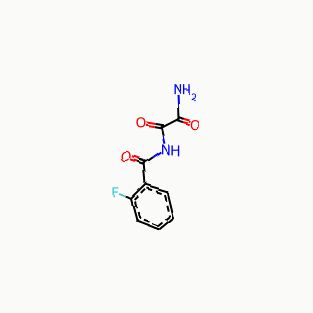 NC(=O)C(=O)NC(=O)c1ccccc1F